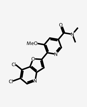 COc1cc(C(=O)N(C)C)cnc1-c1cc2ncc(Cl)c(Cl)c2o1